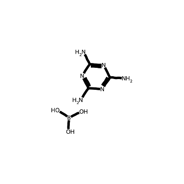 Nc1nc(N)nc(N)n1.OB(O)O